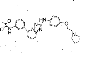 CS(=O)(=O)Nc1cccc(-c2cccc3nc(Nc4ccc(OCCN5CCCC5)cc4)nn23)c1